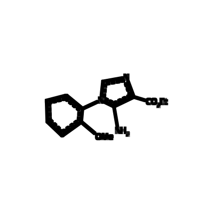 CCOC(=O)c1ncn(-c2ccccc2OC)c1N